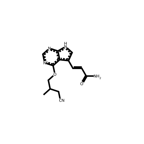 CC(CC#N)COc1ncnc2[nH]cc(C=CC(N)=O)c12